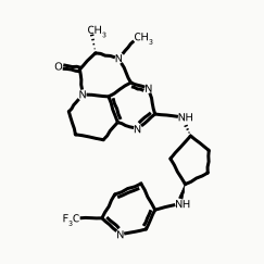 C[C@H]1C(=O)N2CCCc3nc(N[C@@H]4CC[C@@H](Nc5ccc(C(F)(F)F)nc5)C4)nc(c32)N1C